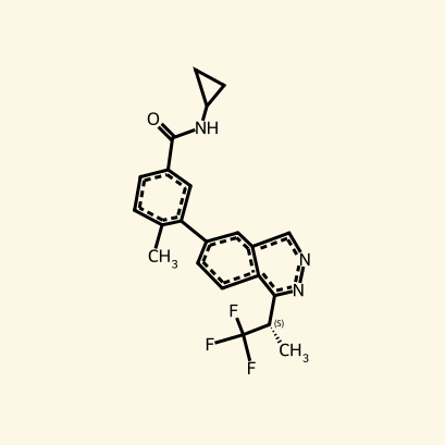 Cc1ccc(C(=O)NC2CC2)cc1-c1ccc2c([C@H](C)C(F)(F)F)nncc2c1